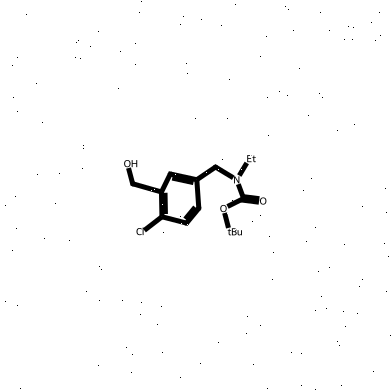 CCN(Cc1ccc(Cl)c(CO)c1)C(=O)OC(C)(C)C